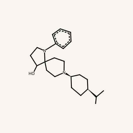 CC(C)[C@H]1CC[C@@H](N2CCC3(CC2)C(O)CCN3c2ccccc2)CC1